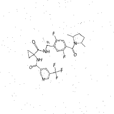 CC1CCC(C)N1C(=O)c1cc(F)c([C@@H](C)NC(=O)C2(NC(=O)c3cncc(C(F)(F)F)c3)CC2)cc1F